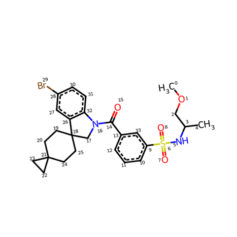 COCC(C)NS(=O)(=O)c1cccc(C(=O)N2CC3(CCC4(CC4)CC3)c3cc(Br)ccc32)c1